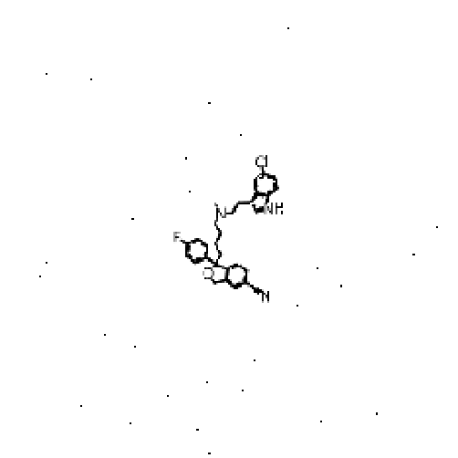 CN(CCCCC1(c2ccc(F)cc2)OCc2cc(C#N)ccc21)CCc1c[nH]c2ccc(Cl)cc12